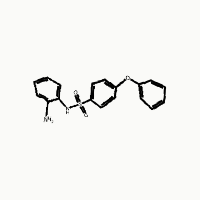 Nc1ccccc1NS(=O)(=O)c1ccc(Oc2ccccc2)cc1